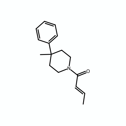 C/C=C/C(=O)N1CCC(C)(c2ccccc2)CC1